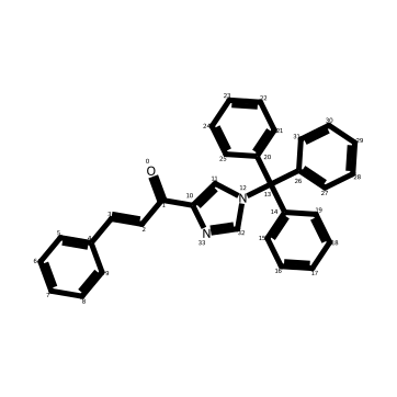 O=C(/C=C/c1ccccc1)c1cn(C(c2ccccc2)(c2ccccc2)c2ccccc2)cn1